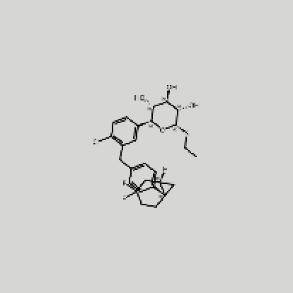 CCS[C@H]1O[C@@H](c2ccc(Cl)c(Cc3ccc([C@@]45CCC(F)(F)C[C@@H]4C5)cc3)c2)[C@H](O)[C@@H](O)[C@@H]1O